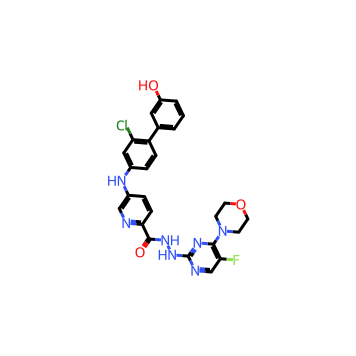 O=C(NNc1ncc(F)c(N2CCOCC2)n1)c1ccc(Nc2ccc(-c3cccc(O)c3)c(Cl)c2)cn1